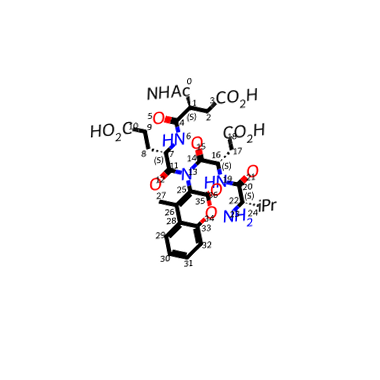 CC(=O)N[C@@H](CC(=O)O)C(=O)N[C@@H](CCC(=O)O)C(=O)N(C(=O)[C@H](CC(=O)O)NC(=O)[C@@H](N)C(C)C)c1c(C)c2ccccc2oc1=O